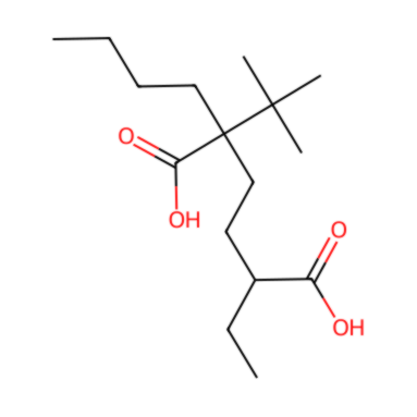 CCCCC(CCC(CC)C(=O)O)(C(=O)O)C(C)(C)C